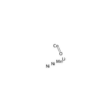 [Li].[Mn].[Ni].[Ni].[O]=[Co]